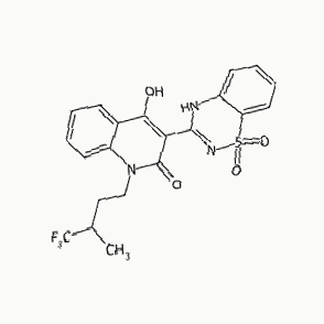 CC(CCn1c(=O)c(C2=NS(=O)(=O)c3ccccc3N2)c(O)c2ccccc21)C(F)(F)F